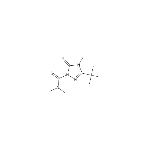 CN(C)C(=S)n1nc(C(C)(C)C)n(C)c1=S